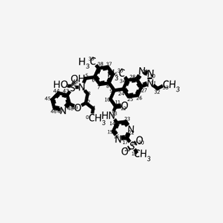 CCC1CN(Cc2cc(C(CC(=O)Nc3cnc(S(C)(=O)=O)nc3)c3ccc4c(nnn4CC)c3C)ccc2C)S(O)(O)c2cccnc2O1